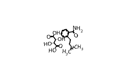 CN(C)CCc1ccccc1C(N)=O.O=C(O)[C@H](O)[C@@H](O)C(=O)O